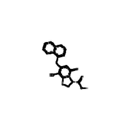 COC(=O)[C@@H]1CSc2c(O)c(Cc3cccc4ccccc34)cc(=O)n21